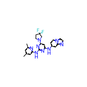 Cc1cc(C)nc(Nc2nc(Nc3ccn4ccnc4c3)cc(N3CCC(F)(F)C3)n2)c1